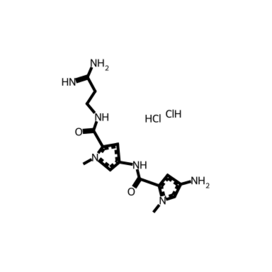 Cl.Cl.Cn1cc(NC(=O)c2cc(N)cn2C)cc1C(=O)NCCC(=N)N